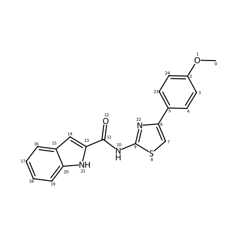 COc1ccc(-c2csc(NC(=O)c3cc4ccccc4[nH]3)n2)cc1